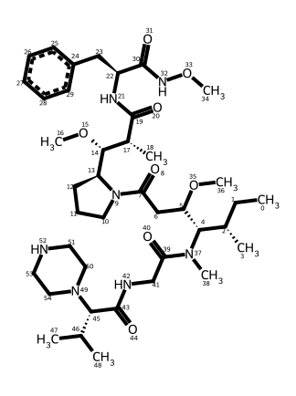 CC[C@H](C)[C@@H](C(CC(=O)N1CCC[C@H]1[C@H](OC)[C@@H](C)C(=O)N[C@@H](Cc1ccccc1)C(=O)NOC)OC)N(C)C(=O)CNC(=O)[C@H](C(C)C)N1CCNCC1